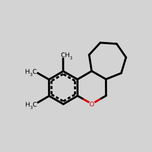 Cc1cc2c(c(C)c1C)C1CCCCCC1CO2